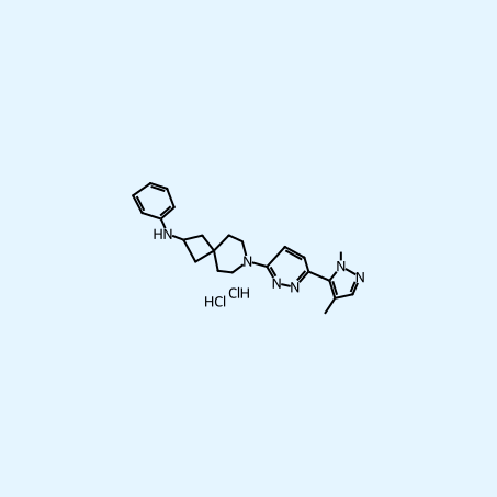 Cc1cnn(C)c1-c1ccc(N2CCC3(CC2)CC(Nc2ccccc2)C3)nn1.Cl.Cl